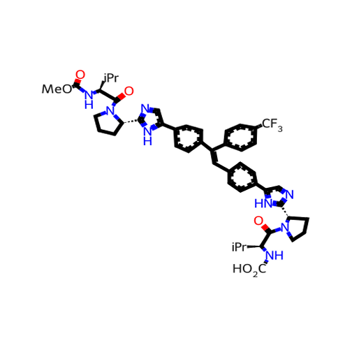 COC(=O)N[C@H](C(=O)N1CCC[C@H]1c1ncc(-c2ccc(C(=Cc3ccc(-c4cnc([C@@H]5CCCN5C(=O)[C@@H](NC(=O)O)C(C)C)[nH]4)cc3)c3ccc(C(F)(F)F)cc3)cc2)[nH]1)C(C)C